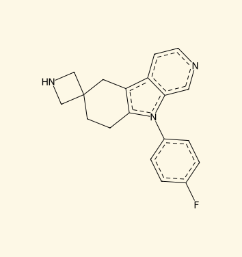 Fc1ccc(-n2c3c(c4ccncc42)CC2(CC3)CNC2)cc1